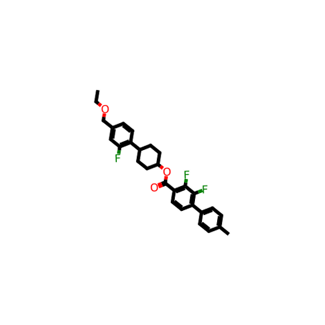 CCOCc1ccc(C2CCC(OC(=O)c3ccc(-c4ccc(C)cc4)c(F)c3F)CC2)c(F)c1